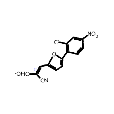 N#C/C([C]=O)=C\c1ccc(-c2ccc([N+](=O)[O-])cc2Cl)o1